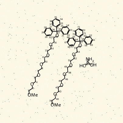 COCCOCCOCCOCCOCCOCCOC(c1ccccc1)(c1ccccc1)c1ccccc1.COCCOCCOCCOCCOCCOCCOC(c1ccccc1)(c1ccccc1)c1ccccc1.NP(O)[18OH]